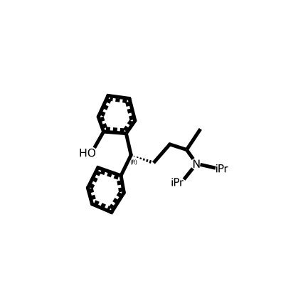 CC(C)N(C(C)C)C(C)CC[C@H](c1ccccc1)c1ccccc1O